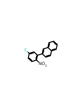 O=[N+]([O-])c1ccc(F)cc1-c1ccc2ccccc2c1